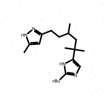 CCCCc1ncc(C(C)(C)CC(C)CCc2cc(C)[nH]n2)[nH]1